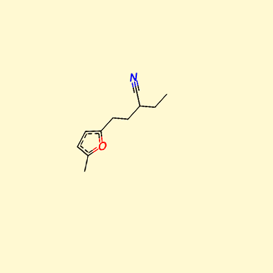 CCC(C#N)CCc1ccc(C)o1